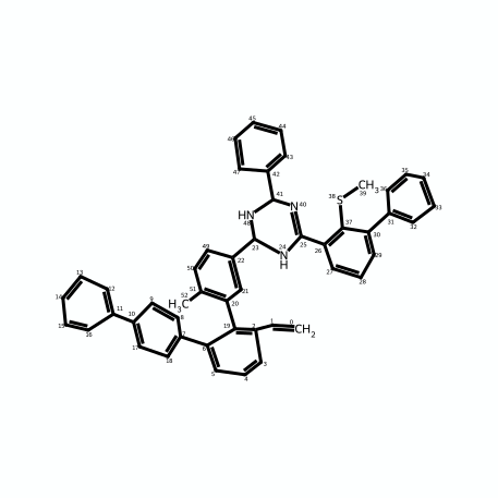 C=Cc1cccc(-c2ccc(-c3ccccc3)cc2)c1-c1cc(C2NC(c3cccc(-c4ccccc4)c3SC)=NC(c3ccccc3)N2)ccc1C